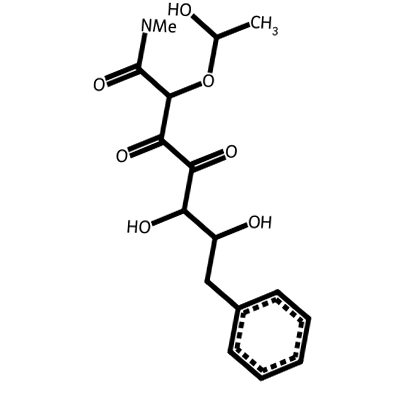 CNC(=O)C(OC(C)O)C(=O)C(=O)C(O)C(O)Cc1ccccc1